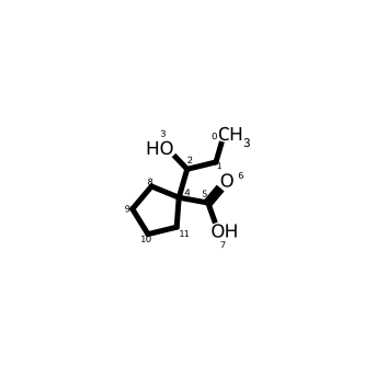 CCC(O)C1(C(=O)O)CCCC1